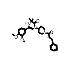 COc1ccc(C2=CN(C3CCN(C(=O)[CH]Cc4ccccc4)CC3)C(=O)C(C)(C)N2)cc1OC